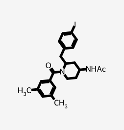 CC(=O)NC1CCN(C(=O)c2cc(C)cc(C)c2)C(Cc2ccc(I)cc2)C1